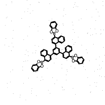 c1ccc2c(c1)OB(c1ccc(-c3cc(-c4ccc(B5Oc6ccccc6O5)c5ccccc45)cc(-c4ccc(B5Oc6ccccc6O5)c5ccccc45)c3)c3ccccc13)O2